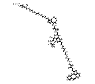 CC(C)C(=O)[C@H](C)NC(=O)[C@@H](NC(=O)C(CCCCNC(=O)COC1CCCCCc2c1nnn2CCOCCOCCOCCOCCC(=O)NCCS(=O)(=O)O)NC(=O)CCOCCOCCOCCOCCNC(=O)CCC(=O)N1Cc2ccccc2C#Cc2ccccc21)C(C)C